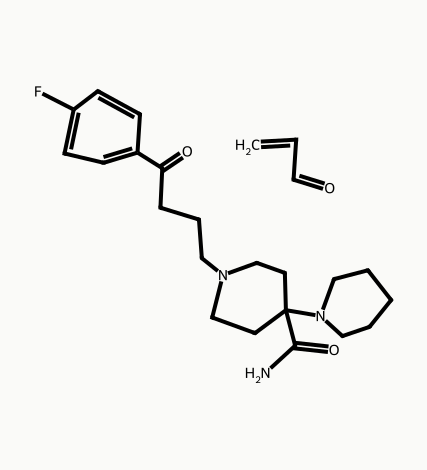 C=CC=O.NC(=O)C1(N2CCCCC2)CCN(CCCC(=O)c2ccc(F)cc2)CC1